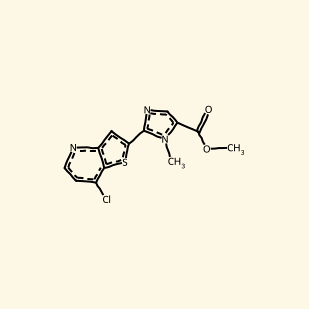 COC(=O)c1cnc(-c2cc3nccc(Cl)c3s2)n1C